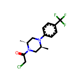 C[C@@H]1CN(c2ccc(C(F)(F)F)cc2)[C@@H](C)CN1C(=O)CCl